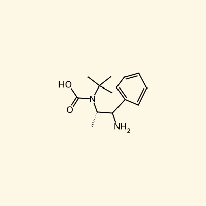 C[C@@H](C(N)c1ccccc1)N(C(=O)O)C(C)(C)C